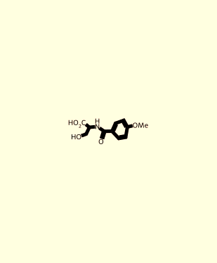 COc1ccc(C(=O)NC(CO)C(=O)O)cc1